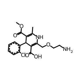 COC(=O)C1=C(C)NC(COCCN)=C(C(=O)O)C1c1ccccc1Cl